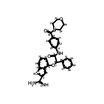 N=C(N)c1cc2c(OC(C(=O)Nc3ccc(C(=O)N4CCOCC4)cc3)c3ccccc3)cccc2s1